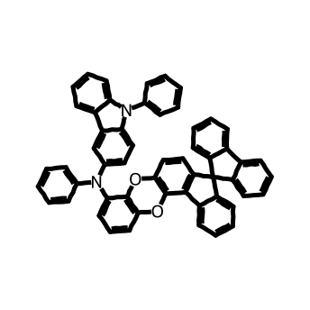 c1ccc(N(c2ccc3c(c2)c2ccccc2n3-c2ccccc2)c2cccc3c2Oc2ccc4c(c2O3)-c2ccccc2C42c3ccccc3-c3ccccc32)cc1